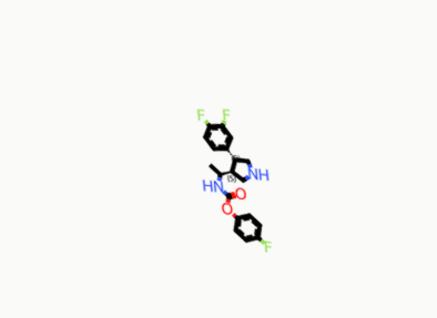 CC(NC(=O)Oc1ccc(F)cc1)[C@@H]1CNC[C@H]1c1ccc(F)c(F)c1